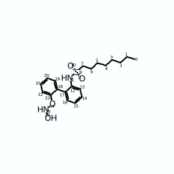 CCCCCCCCS(=O)(=O)Nc1ccccc1-c1ccccc1ONO